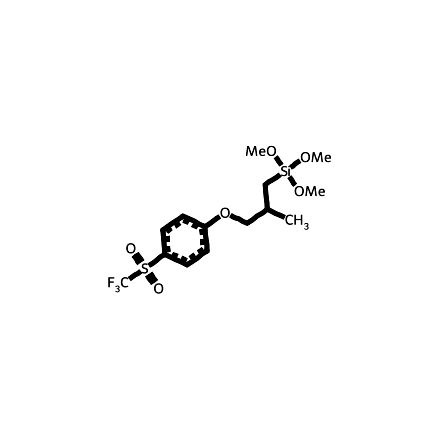 CO[Si](CC(C)COc1ccc(S(=O)(=O)C(F)(F)F)cc1)(OC)OC